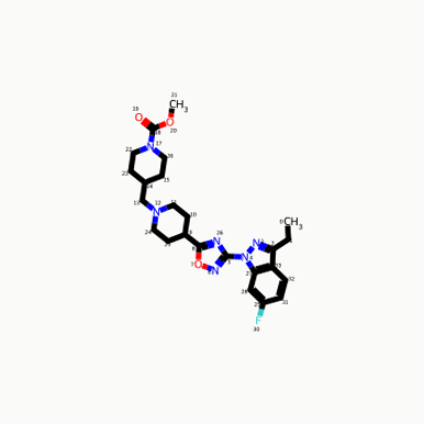 CCc1nn(-c2noc(C3CCN(CC4CCN(C(=O)OC)CC4)CC3)n2)c2cc(F)ccc12